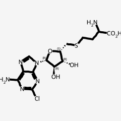 Nc1nc(Cl)nc2c1ncn2[C@@H]1O[C@H](CSCCC(N)C(=O)O)[C@H](O)[C@H]1O